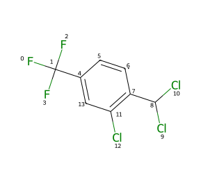 FC(F)(F)c1c[c]c(C(Cl)Cl)c(Cl)c1